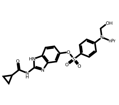 CCCN(CO)c1ccc(S(=O)(=O)Oc2ccc3[nH]c(NC(=O)C4CC4)nc3c2)cc1